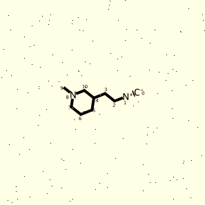 [C-]#[N+]CCC1CCCN(C)C1